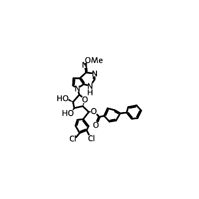 CO/N=c1\nc[nH]c2c1ccn2C1O[C@H]([C@H](OC(=O)c2ccc(-c3ccccc3)cc2)c2ccc(Cl)c(Cl)c2)[C@@H](O)[C@H]1O